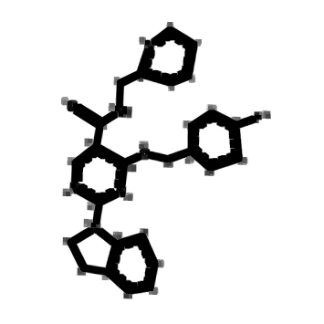 O=C(NCc1ccccn1)c1cnc(N2CCc3ccccc32)nc1OCc1ccc(F)cc1